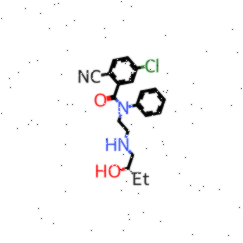 CC[C@H](O)CNCCN(C(=O)c1cc(Cl)ccc1C#N)c1ccccc1